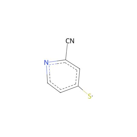 N#Cc1cc([S])ccn1